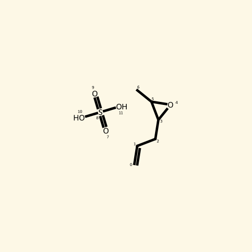 C=CCC1OC1C.O=S(=O)(O)O